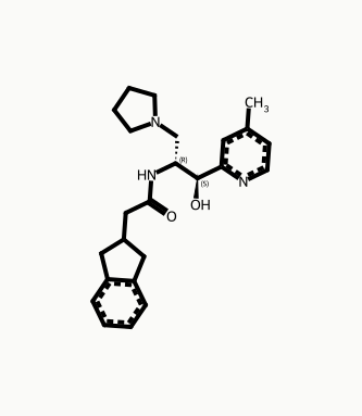 Cc1ccnc([C@@H](O)[C@@H](CN2CCCC2)NC(=O)CC2Cc3ccccc3C2)c1